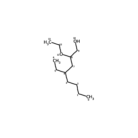 CCCCC(CC)CC(CO)OCC